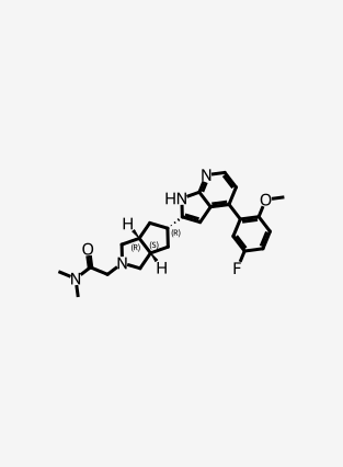 COc1ccc(F)cc1-c1ccnc2[nH]c([C@@H]3C[C@@H]4CN(CC(=O)N(C)C)C[C@@H]4C3)cc12